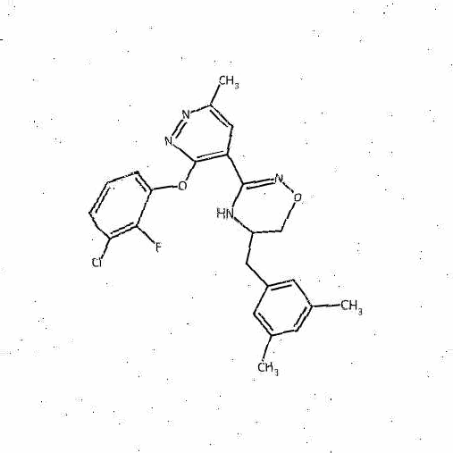 Cc1cc(C)cc(CC2CON=C(c3cc(C)nnc3Oc3cccc(Cl)c3F)N2)c1